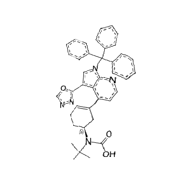 CC(C)(C)N(C(=O)O)[C@H]1CCC=C(c2ccnc3c2c(-c2nnco2)cn3C(c2ccccc2)(c2ccccc2)c2ccccc2)C1